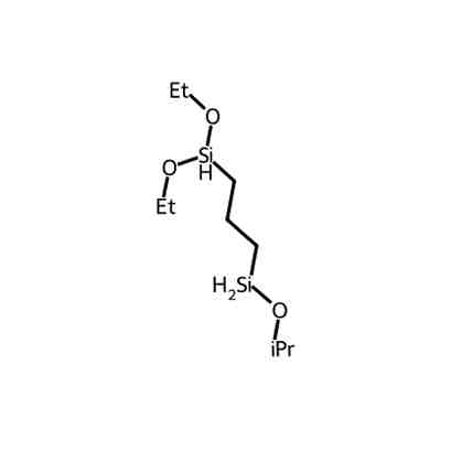 CCO[SiH](CCC[SiH2]OC(C)C)OCC